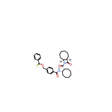 O=C(N[C@H]1CCCCCC[C@H]1C(=O)N1C(=O)[C@@H]2CCCCCC[C@@H]21)c1ccc(COC(=S)c2ccccc2)cc1